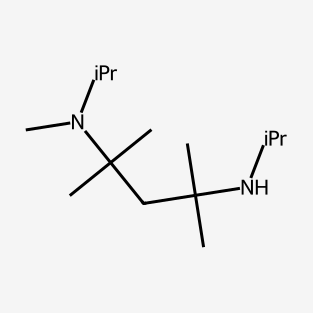 CC(C)NC(C)(C)CC(C)(C)N(C)C(C)C